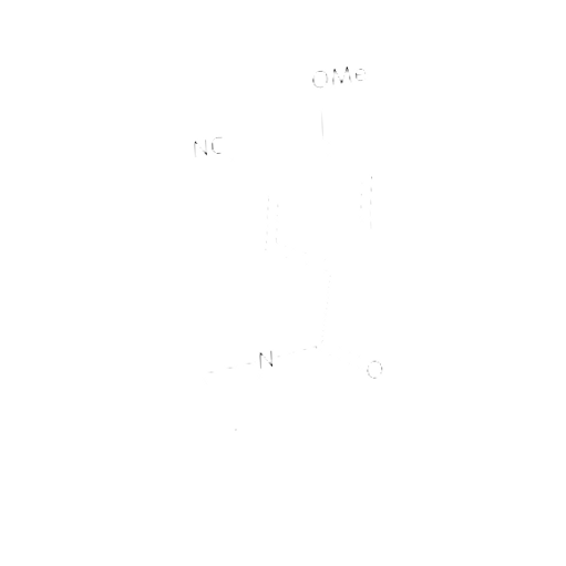 COc1ccc(C(=O)N2CC2)cc1C#N